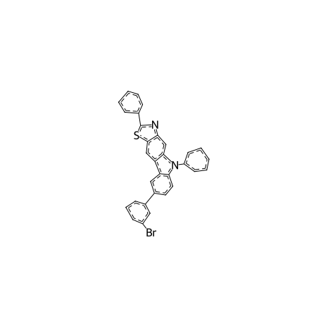 Brc1cccc(-c2ccc3c(c2)c2cc4sc(-c5ccccc5)nc4cc2n3-c2ccccc2)c1